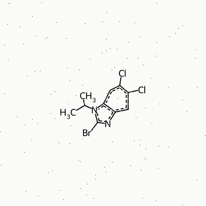 CC(C)n1c(Br)nc2cc(Cl)c(Cl)cc21